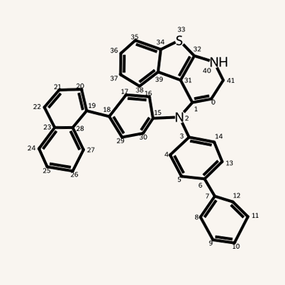 C1=C(N(c2ccc(-c3ccccc3)cc2)c2ccc(-c3cccc4ccccc34)cc2)c2c(sc3ccccc23)NC1